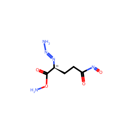 NN=N[C@@H](CCC(=O)N=O)C(=O)ON